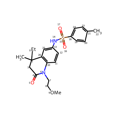 CCC1(C)CC(=O)N(CCOC)c2ccc(NS(=O)(=O)c3ccc(C)cc3)cc21